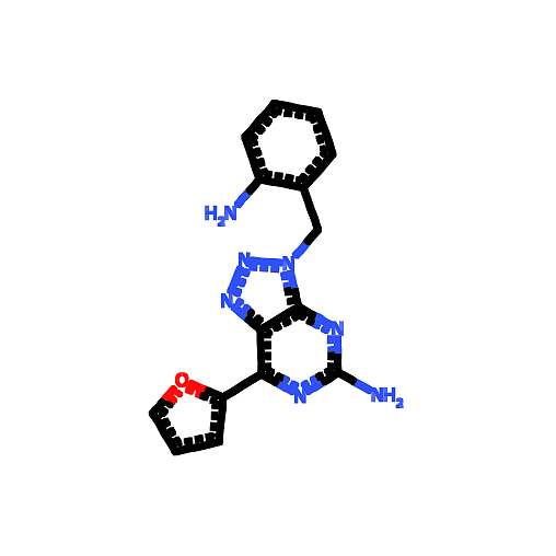 Nc1nc(-c2ccco2)c2nnn(Cc3ccccc3N)c2n1